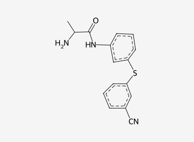 CC(N)C(=O)Nc1cccc(Sc2cccc(C#N)c2)c1